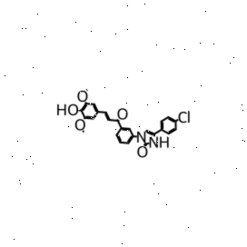 COc1cc(/C=C/C(=O)c2cccc(-n3cc(-c4ccc(Cl)cc4)[nH]c3=O)c2)cc(OC)c1O